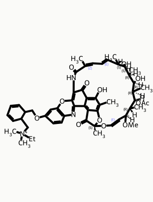 CC[N+](C)(C)CC1C=CC=CC1COc1ccc2nc3c4c5c6c(C)c(O)c4c(=O)c(c-3oc2c1)NC(=O)/C(C)=C\C=C\[C@H](C)[C@H](O)[C@@H](C)[C@@H](O)[C@@H](C)[C@H](OC(C)=O)[C@H](C)[C@@H](OC)/C=C/O[C@@](C)(O6)C5=O